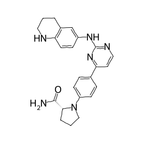 NC(=O)[C@H]1CCCN1c1ccc(-c2ccnc(Nc3ccc4c(c3)CCCN4)n2)cc1